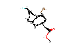 COC(=O)c1cc(Br)c2cc(F)ccc2c1